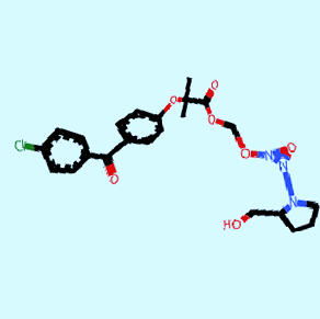 CC(C)(Oc1ccc(C(=O)c2ccc(Cl)cc2)cc1)C(=O)OCOn1on1N1CCCC1CO